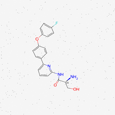 N[C@@H](CO)C(=O)Nc1cccc(-c2ccc(Oc3ccc(F)cc3)cc2)n1